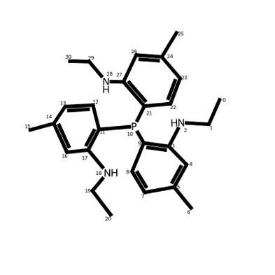 CCNc1cc(C)ccc1P(c1ccc(C)cc1NCC)c1ccc(C)cc1NCC